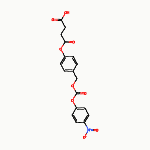 O=C(O)CCC(=O)Oc1ccc(COC(=O)Oc2ccc([N+](=O)[O-])cc2)cc1